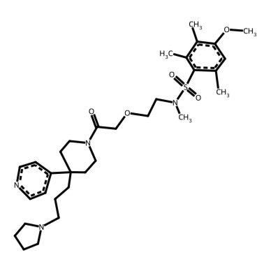 COc1cc(C)c(S(=O)(=O)N(C)CCOCC(=O)N2CCC(CCCN3CCCC3)(c3ccncc3)CC2)c(C)c1C